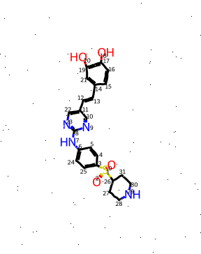 O=S(=O)(c1ccc(Nc2ncc(C=Cc3ccc(O)c(O)c3)cn2)cc1)C1CCNCC1